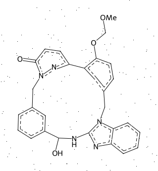 COCOc1ccc2cc1-c1ccc(=O)n(n1)Cc1cccc(c1)C(O)Nc1nc3ccccc3n1C2